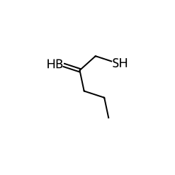 B=C(CS)CCC